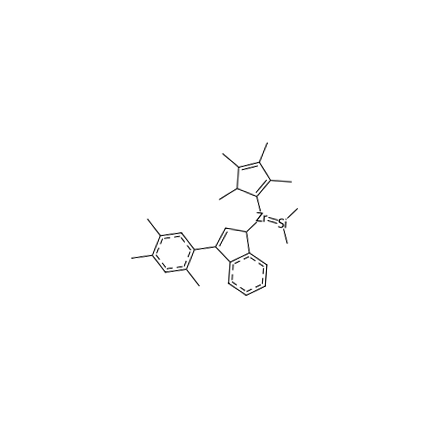 CC1=C(C)C(C)[C]([Zr]([CH]2C=C(c3cc(C)c(C)cc3C)c3ccccc32)=[Si](C)C)=C1C